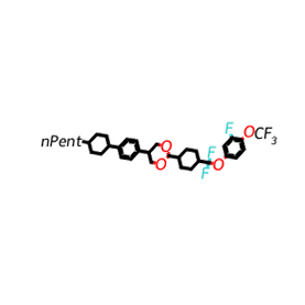 CCCCCC1CCC(c2ccc(C3COC(C4CCC(C(F)(F)Oc5ccc(OC(F)(F)F)c(F)c5)CC4)OC3)cc2)CC1